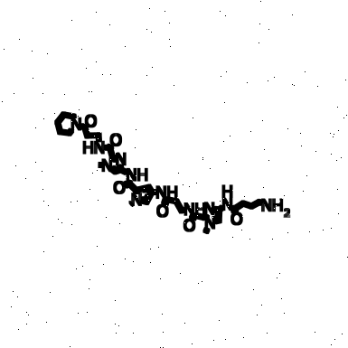 Cn1cc(NC(=O)CCNC(=O)c2nc(NC(=O)CCCN)cn2C)cc1C(=O)Nc1cn(C)c(C(=O)NCCC(=O)N2CCCCC2)n1